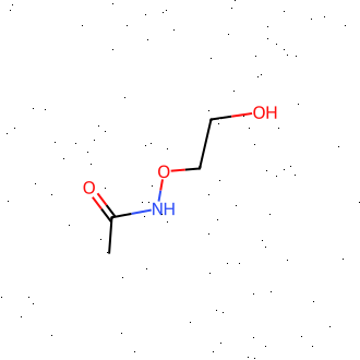 CC(=O)NOCCO